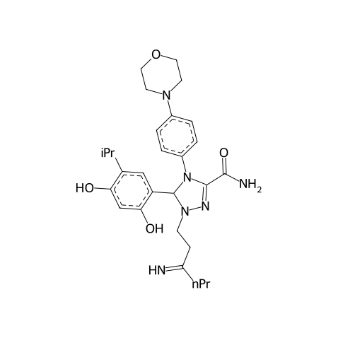 CCCC(=N)CCN1N=C(C(N)=O)N(c2ccc(N3CCOCC3)cc2)C1c1cc(C(C)C)c(O)cc1O